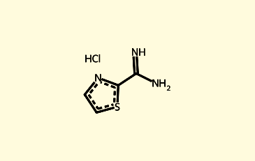 Cl.N=C(N)c1nccs1